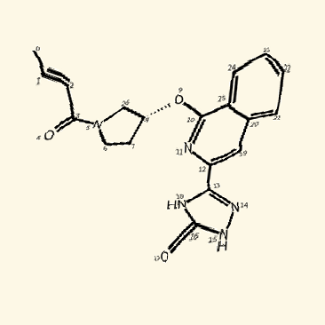 CC=CC(=O)N1CC[C@@H](Oc2nc(-c3n[nH]c(=O)[nH]3)cc3ccccc23)C1